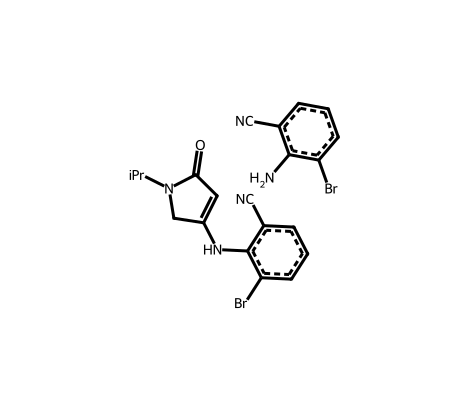 CC(C)N1CC(Nc2c(Br)cccc2C#N)=CC1=O.N#Cc1cccc(Br)c1N